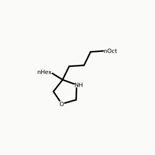 CCCCCCCCCCCC1(CCCCCC)COCN1